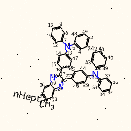 CCCCCCCC.c1ccc(N(c2ccccc2)c2ccc(-c3nc4ccccc4nc3-c3ccc(N(c4ccccc4)c4ccccc4)cc3)cc2)cc1